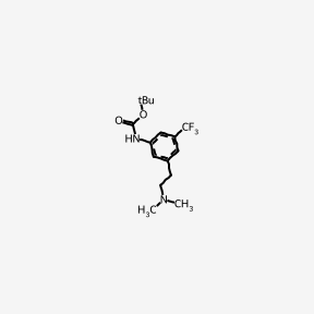 CN(C)CCc1cc(NC(=O)OC(C)(C)C)cc(C(F)(F)F)c1